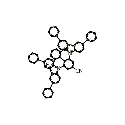 N#Cc1cc(-n2c3ccc(-c4ccccc4)cc3c3cc(-c4ccccc4)ccc32)c(-c2c(C(F)(F)F)cccc2C(F)(F)F)c(-n2c3ccc(-c4ccccc4)cc3c3cc(-c4ccccc4)ccc32)c1